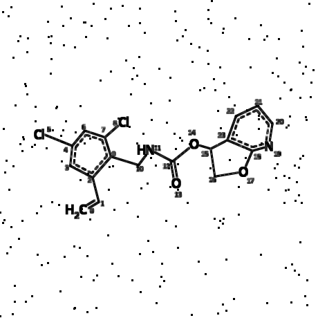 C=Cc1cc(Cl)cc(Cl)c1CNC(=O)OC1COc2ncccc21